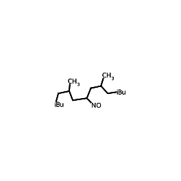 CCC(C)CC(C)CC(CC(C)CC(C)CC)N=O